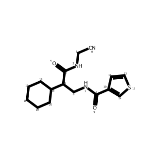 N#CCNC(=O)C(CNC(=O)c1ccsc1)C1CCCCC1